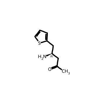 CC(=O)C[C@@H](N)Cc1cccs1